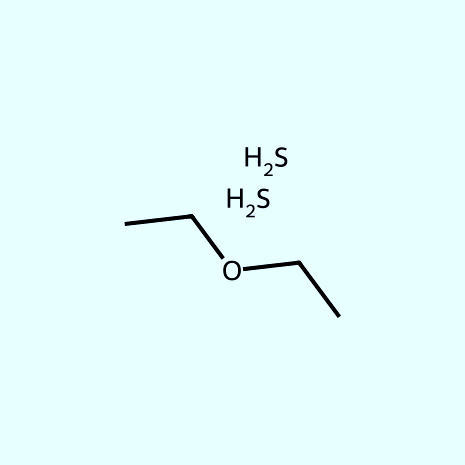 CCOCC.S.S